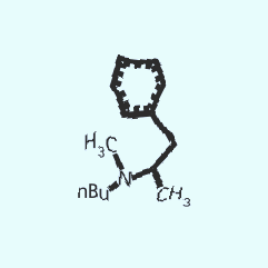 CCCCN(C)C(C)Cc1ccccc1